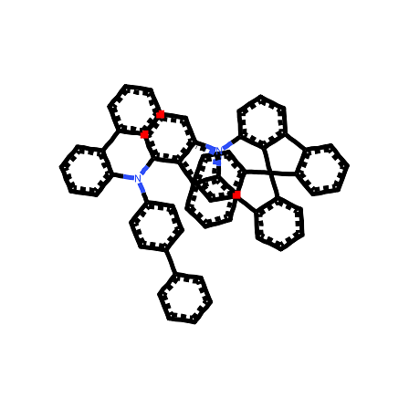 c1ccc(-c2ccc(N(c3ccccc3-c3ccccc3)c3cccc4c3c3ccccc3n4-c3cccc4c3C3(c5ccccc5-c5ccccc53)c3ccccc3-4)cc2)cc1